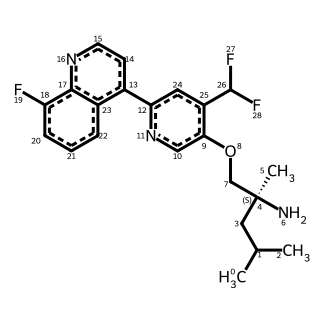 CC(C)C[C@](C)(N)COc1cnc(-c2ccnc3c(F)cccc23)cc1C(F)F